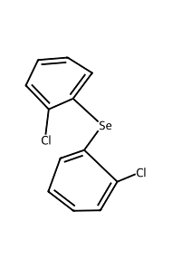 Clc1ccccc1[Se]c1ccccc1Cl